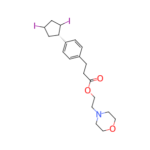 O=C(CCc1ccc([C@@H]2CC(I)CC2I)cc1)OCCN1CCOCC1